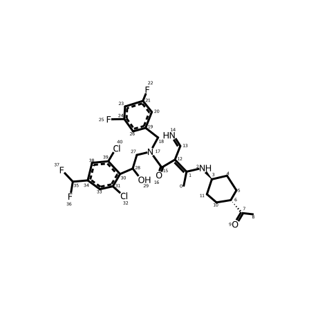 C/C(N[C@H]1CC[C@H](C(C)=O)CC1)=C(/C=N)C(=O)N(Cc1cc(F)cc(F)c1)CC(O)c1c(Cl)cc(C(F)F)cc1Cl